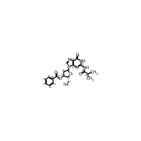 [2H]C[C@H]1OC(n2cnc3c(=O)[nH]c(NC(=O)C(C)C)nc32)CC1OC(=O)c1ccccc1